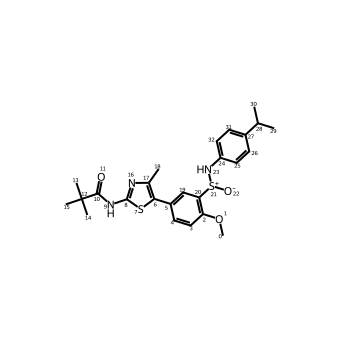 COc1ccc(-c2sc(NC(=O)C(C)(C)C)nc2C)cc1[S+]([O-])Nc1ccc(C(C)C)cc1